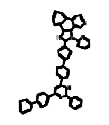 C1=C(c2ccc(-c3ccc(C4Nc5c(c6cnccc6c6ccccc56)N4c4ccccn4)cc3)cc2)NC(c2ccccc2)N=C1c1ccc(-c2ccccc2)cc1